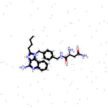 CCCCc1nc2c(N)nc3ccccc3c2n1Cc1ccc(CNC(=O)[C@@H](N)CC(N)=O)cc1